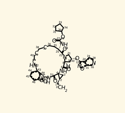 C=C[C@@H]1C[C@@]12NC(=O)[C@@H]1C[C@@H](Oc3noc4cnccc34)CN1C(=O)[C@@H](NC(=O)OC1CCCC1)CCCCCCCNc1ccccc1S(=O)(=O)NC2=O